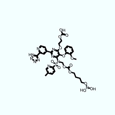 COc1ccccc1Oc1c(OCCOC(=O)O)nc(-c2ccnc(-c3nnn[nH]3)c2)nc1N(COC(=O)OCCCCON(O)O)S(=O)(=O)c1ccc(C)cn1